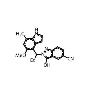 CCC(c1c(OC)cc(C)c2[nH]ccc12)n1nc2ccc(C#N)cc2c1O